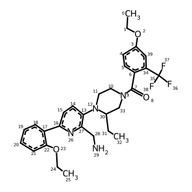 CCOc1ccc(C(=O)N2CCN(c3ccc(-c4ccccc4OCC)nc3CN)C(CC)C2)c(C(F)(F)F)c1